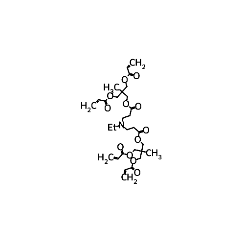 C=CC(=O)OCC(C)(COC(=O)C=C)COC(=O)CCN(CC)CCC(=O)OCC(C)(COC(=O)C=C)COC(=O)C=C